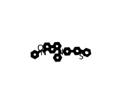 C1=Cc2c(sc3cc(-c4ccc(N(c5ccccc5)c5cccc6c5ccc5c6ccc6oc(-c7ccccc7)nc65)cc4)ccc23)CC1